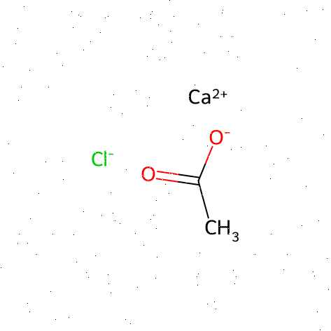 CC(=O)[O-].[Ca+2].[Cl-]